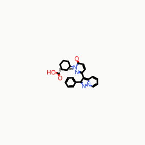 O=C(O)[C@@H]1CCC[C@@H](n2nc(-c3c(-c4ccccc4)nn4ccccc34)ccc2=O)C1